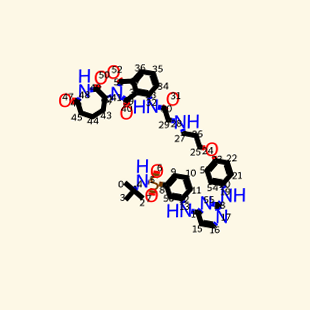 CC(C)(C)NS(=O)(=O)c1cccc(Nc2ccnc(Nc3ccc(OCCCNCC(=O)Nc4cccc5c4C(=O)N([C@H]4CCCC(=O)NC4=O)C5=O)cc3)n2)c1